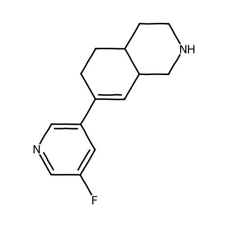 Fc1cncc(C2=CC3CNCCC3CC2)c1